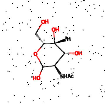 [2H][C@@]1(O)[C@H](O)[C@@H](NC(C)=O)C(O)O[C@@H]1CO